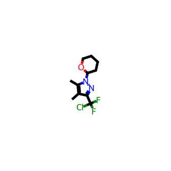 Cc1c(C(F)(F)Cl)nn(C2CCCCO2)c1C